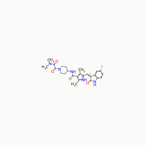 Cc1[nH]c(/C=C2\C(=O)Nc3ccc(F)cc32)c(C)c1C(=O)NC1CCN(C(=O)C(=O)N(C)C)CC1